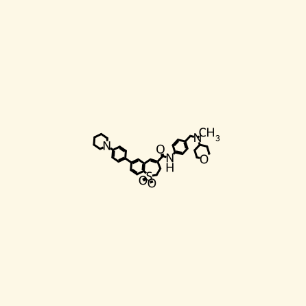 CN(Cc1ccc(NC(=O)C2=Cc3cc(-c4ccc(N5CCCCC5)cc4)ccc3S(=O)(=O)CC2)cc1)C1CCOCC1